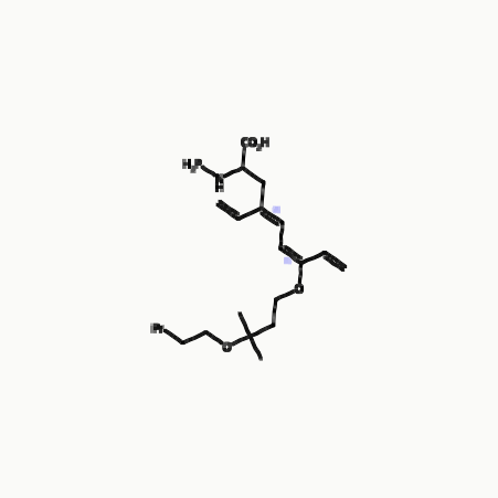 C=C/C(=C\C=C(/C=C)OCCC(C)(C)OCCC(C)C)CC(NP)C(=O)O